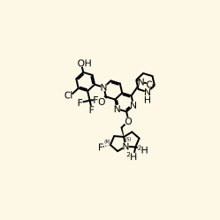 [2H]C1([2H])CC[C@@]2(COc3nc(N4CC5CCC4CN5)c4ccn(-c5cc(O)cc(Cl)c5C(F)(F)F)c(=O)c4n3)C[C@@H](F)CN12